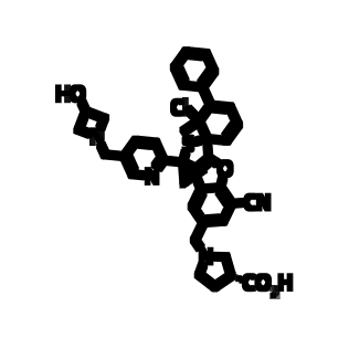 CC1(Cl)C(c2ccccc2)=CC=CC1(SC1(c2ccc(CN3CC(O)C3)cn2)CC1)c1nc2cc(CN3CC[C@@H](C(=O)O)C3)cc(C#N)c2o1